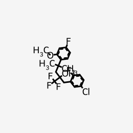 COc1cc(F)ccc1C(C)(C)CC(O)(Cc1cc(Cl)ccc1F)C(F)(F)F